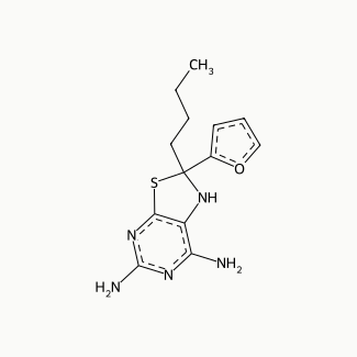 CCCCC1(c2ccco2)Nc2c(N)nc(N)nc2S1